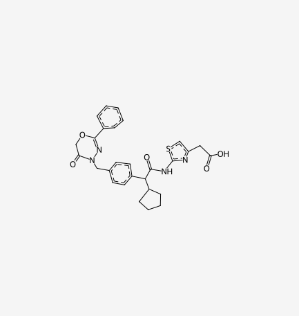 O=C(O)Cc1csc(NC(=O)C(c2ccc(CN3N=C(c4ccccc4)OCC3=O)cc2)C2CCCC2)n1